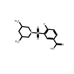 CC1CC(C)CN(S(=O)(=O)c2cc(C(=O)O)ccc2F)C1